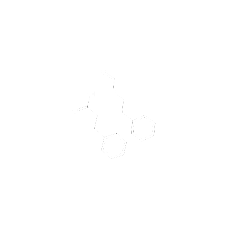 O=C(O)CCc1ccccc1.O=COCCc1ccccc1